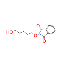 O=C1c2ccccc2C(=O)N1OCCCCCO